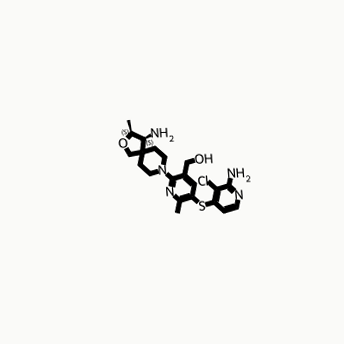 Cc1nc(N2CCC3(CC2)CO[C@@H](C)[C@H]3N)c(CO)cc1Sc1ccnc(N)c1Cl